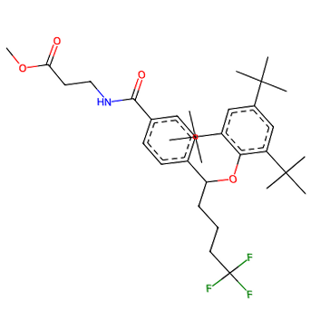 COC(=O)CCNC(=O)c1ccc(C(CCCC(F)(F)F)Oc2c(C(C)(C)C)cc(C(C)(C)C)cc2C(C)(C)C)cc1